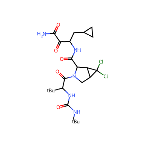 CC(C)(C)NC(=O)NC(C(=O)N1CC2C(C1C(=O)NC(CC1CC1)C(=O)C(N)=O)C2(Cl)Cl)C(C)(C)C